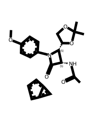 COc1ccc(N2C(=O)[C@@H](NC(C)=O)[C@H]2C2COC(C)(C)O2)cc1.c1cc2cc-2c1